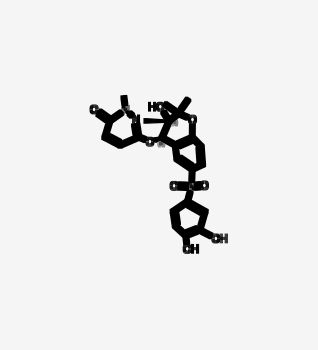 Cn1nc(O[C@@H]2c3cc(S(=O)(=O)c4ccc(O)c(O)c4)ccc3OC(C)(C)[C@@]2(C)O)ccc1=O